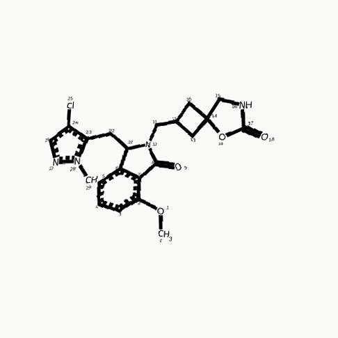 COc1cccc2c1C(=O)N(CC1CC3(CNC(=O)O3)C1)C2Cc1c(Cl)cnn1C